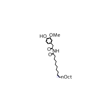 CCCCCCCC/C=C\CCCCCCCC(=O)NC(=O)Cc1ccc(O)c(OC)c1